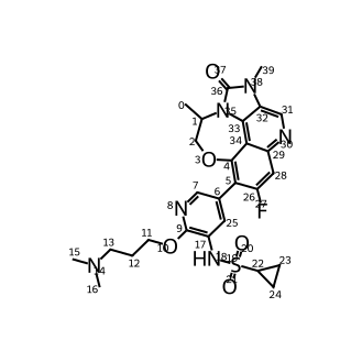 CC1COc2c(-c3cnc(OCCCN(C)C)c(NS(=O)(=O)C4CC4)c3)c(F)cc3ncc4c(c23)n1c(=O)n4C